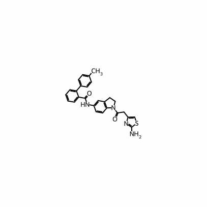 Cc1ccc(-c2ccccc2C(=O)Nc2ccc3c(c2)CCN3C(=O)Cc2csc(N)n2)cc1